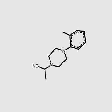 Cc1ccccc1N1CCN(C(C)C#N)CC1